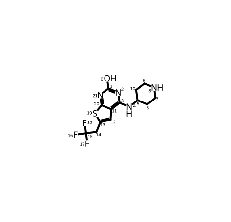 Oc1nc(NC2CCNCC2)c2cc(CC(F)(F)F)sc2n1